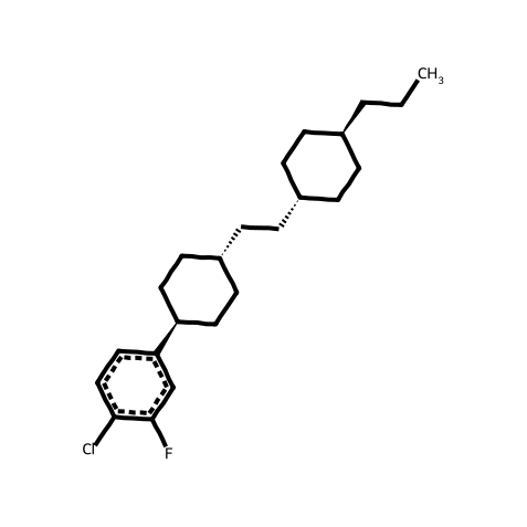 CCC[C@H]1CC[C@H](CC[C@H]2CC[C@H](c3ccc(Cl)c(F)c3)CC2)CC1